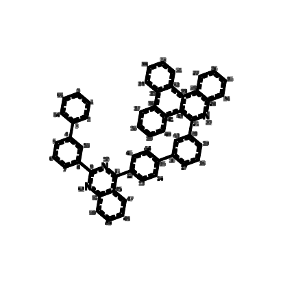 c1ccc(-c2cccc(-c3nc(-c4ccc(-c5cccc(-c6nc7ccccc7c7c8ccccc8c8ccccc8c67)c5)cc4)c4ccccc4n3)c2)cc1